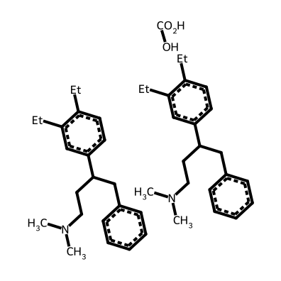 CCc1ccc(C(CCN(C)C)Cc2ccccc2)cc1CC.CCc1ccc(C(CCN(C)C)Cc2ccccc2)cc1CC.O=C(O)O